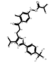 Cc1cc(OOC(=O)C(C)C)ccc1C(=O)CCc1sc(-c2ccc(C(F)(F)F)cc2)nc1C(C)C